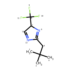 CC(C)(C)CC1=NC(C(F)(F)F)C=N1